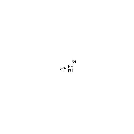 F.F.F.[W]